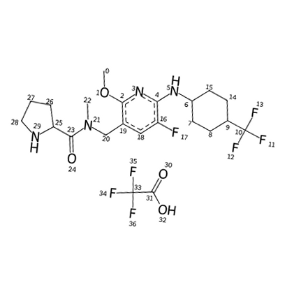 COc1nc(NC2CCC(C(F)(F)F)CC2)c(F)cc1CN(C)C(=O)C1CCCN1.O=C(O)C(F)(F)F